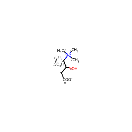 CS(=O)(=O)O.C[N+](C)(C)CC(O)CC(=O)[O-]